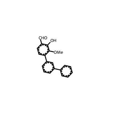 COc1c(-c2cccc(-c3ccccc3)c2)ccc(C=O)c1O